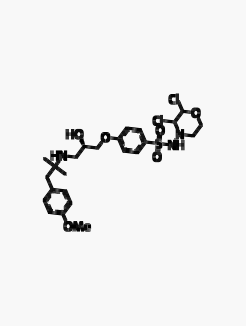 COc1ccc(CC(C)(C)NC[C@@H](O)COc2ccc(S(=O)(=O)NN3CCOC(Cl)C3Cl)cc2)cc1